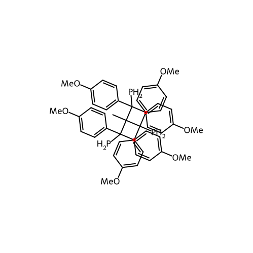 COc1ccc(C(P)(c2ccc(OC)cc2)C(C)(C(P)(c2ccc(OC)cc2)c2ccc(OC)cc2)C(P)(c2ccc(OC)cc2)c2ccc(OC)cc2)cc1